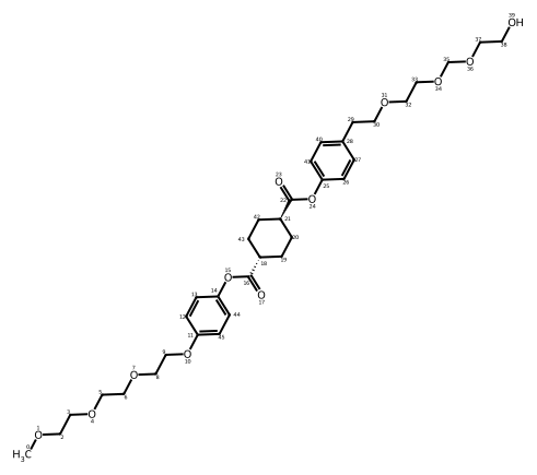 COCCOCCOCCOc1ccc(OC(=O)[C@H]2CC[C@H](C(=O)Oc3ccc(CCOCCOCOCCO)cc3)CC2)cc1